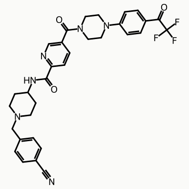 N#Cc1ccc(CN2CCC(NC(=O)c3ccc(C(=O)N4CCN(c5ccc(C(=O)C(F)(F)F)cc5)CC4)cn3)CC2)cc1